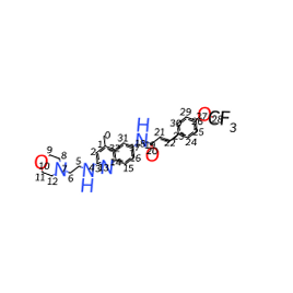 Cc1cc(NCCN2CCOCC2)nc2ccc(NC(=O)C=Cc3ccc(OC(F)(F)F)cc3)cc12